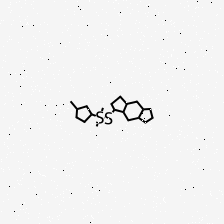 CC1CCC(S(C)(C)SC2CCC3CC4CCCC4CC32)C1